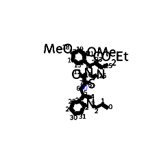 C=CCn1cc(/C=c2\sc3n(c2=O)C(c2ccc(OC)cc2OC)C(C(=O)OCC)=C(C)N=3)c2ccccc21